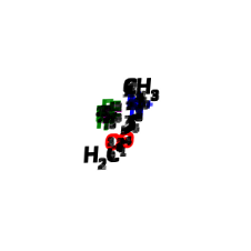 C=CC(=O)OCCCC[n+]1ccn(CC)c1.F[P-](F)(F)(F)(F)F